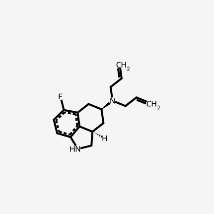 C=CCN(CC=C)[C@@H]1Cc2c(F)ccc3c2[C@H](CN3)C1